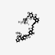 CN1CCC[C@@H]1c1cc2cnc(NC(=O)c3cc(F)c(CCCCC#Cc4cccc5c4CN(C4CCC(=O)N(COCC[Si](C)(C)C)C4=O)C5=O)c(F)c3)cc2n1C(=O)OC(C)(C)C